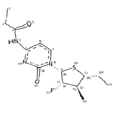 CCC(=O)Nc1ccn([C@@H]2S[C@H](CC)[C@@H](C)[C@@H]2F)c(=O)n1